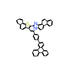 c1ccc2c(c1)ccc1c2ccc2c1nc1c3sc4c5ccccc5ccc4c3cc(-c3ccc(-c4ccc5c6ccccc6c6ccccc6c5c4)cc3)n21